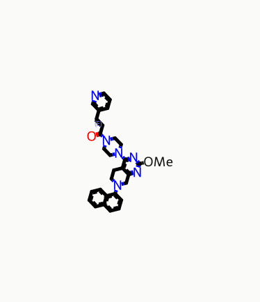 COc1nc2c(c(N3CCN(C(=O)/C=C/c4cccnc4)CC3)n1)CCN(c1cccc3ccccc13)C2